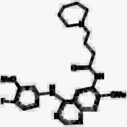 COc1cc(Nc2nccc3cc(OC)c(NC(=O)CCCN4CCCCC4)cc23)ccc1F